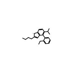 CCCCC1=Cc2c(ccc(C(C)C)c2-c2ccccc2CC)[CH]1